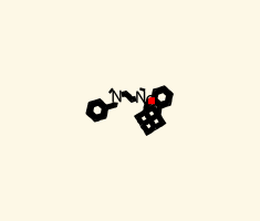 CN(CCN(C)C(=O)C12CC3CC4CC(c5ccccc5)(C1)C342)Cc1ccccc1